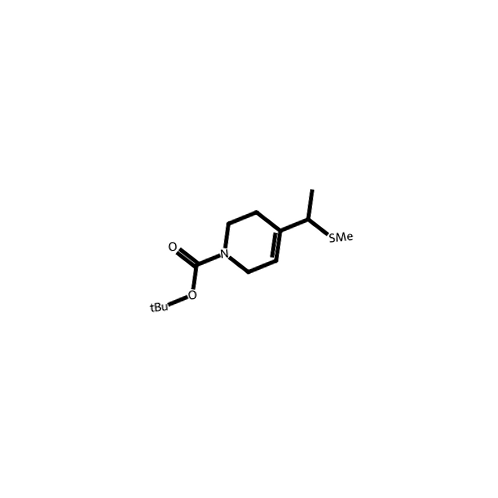 CSC(C)C1=CCN(C(=O)OC(C)(C)C)CC1